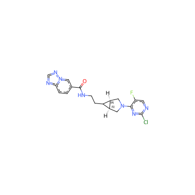 O=C(NCCC1[C@H]2CN(c3nc(Cl)ncc3F)C[C@@H]12)c1ccc2ncnn2c1